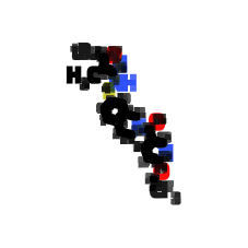 Cc1c(NSc2ccc3c(c2)CN(C(=O)c2ccc(OCC(F)(F)F)nc2)CC3)noc1C(C)(C)C